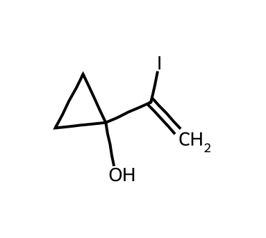 C=C(I)C1(O)CC1